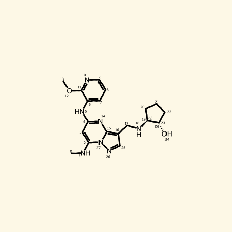 CNc1cc(Nc2cccnc2OC)nc2c(CN[C@H]3CCC[C@@H]3O)cnn12